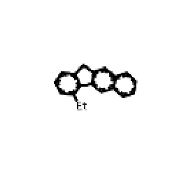 CCc1cccc2c1-c1cc3ccccc3cc1C2